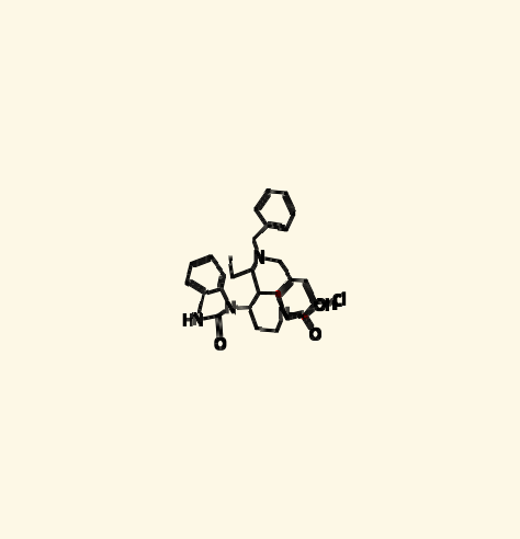 CCC(C1CN(C(=O)O)CCC1n1c(=O)[nH]c2ccccc21)N(Cc1ccccc1)Cc1cccc(Cl)c1